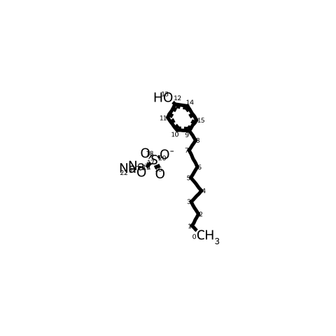 CCCCCCCCCc1ccc(O)cc1.O=S(=O)([O-])[O-].[Na+].[Na+]